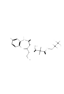 CC(C)(C(=O)NCC(F)(F)C(F)(F)F)C(=O)N[C@H]1C(=O)Nc2cc(F)ccc2OC1CCO